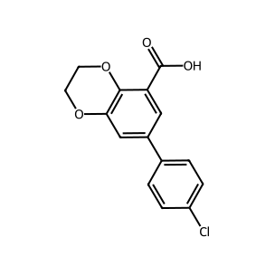 O=C(O)c1cc(-c2ccc(Cl)cc2)cc2c1OCCO2